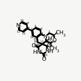 C[C@@H]1CN2c3ccc(-c4ccncc4)cc3CC3(C(=O)NC(=O)NC3=O)[C@H]2[C@H](C)O1